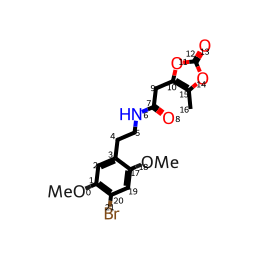 COc1cc(CCNC(=O)Cc2oc(=O)oc2C)c(OC)cc1Br